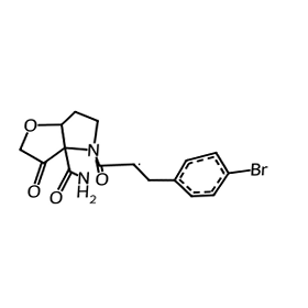 NC(=O)C12C(=O)COC1CCN2C(=O)[CH]Cc1ccc(Br)cc1